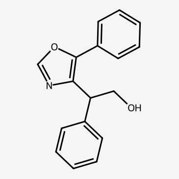 OCC(c1ccccc1)c1ncoc1-c1ccccc1